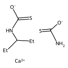 CCC(CC)NC([O-])=S.NC([O-])=S.[Ca+2]